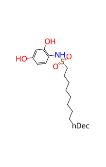 CCCCCCCCCCCCCCCCCCS(=O)(=O)Nc1ccc(O)cc1O